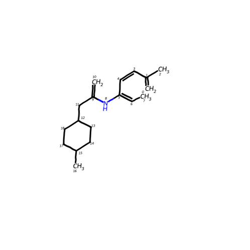 C=C(C)/C=C\C(=C/C)NC(=C)CC1CCC(C)CC1